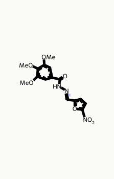 COc1cc(C(=O)N/N=C/c2ccc([N+](=O)[O-])o2)cc(OC)c1OC